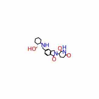 O=C1CCC(N2Cc3cc(CN[C@@H]4CCCC[C@H]4CO)ccc3C2=O)C(=O)N1